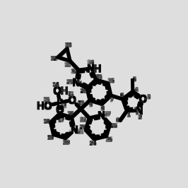 Cc1noc(C)c1-c1cc(C(OP(=O)(O)O)(c2ccccn2)c2ccccn2)c2nc(C3CC3)[nH]c2c1